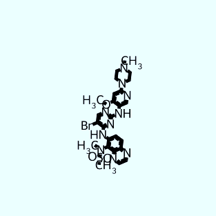 COc1cc(N2CCN(C)CC2)ncc1Nc1ncc(Br)c(Nc2ccc3nccnc3c2N(C)S(C)(=O)=O)n1